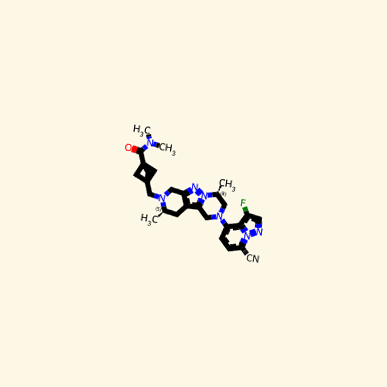 C[C@@H]1CN(c2ccc(C#N)n3ncc(F)c23)Cc2c3c(nn21)CN(CC12CC(C(=O)N(C)C)(C1)C2)[C@@H](C)C3